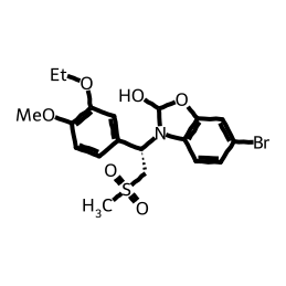 CCOc1cc([C@@H](CS(C)(=O)=O)N2c3ccc(Br)cc3OC2O)ccc1OC